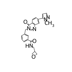 Cn1nccc1-c1ccc2c(=O)n(Cc3cccc(C(=O)NCC4COC4)c3)cnc2c1